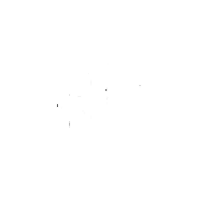 CCC(C(=O)N(C)C)c1coc2ccccc12